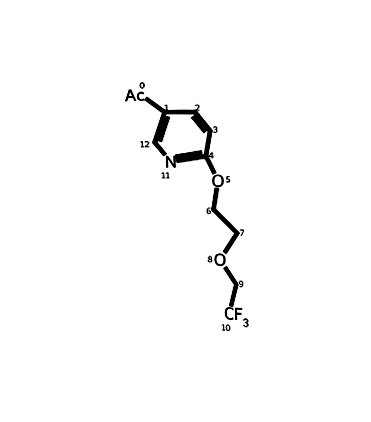 CC(=O)c1ccc(OCCOCC(F)(F)F)nc1